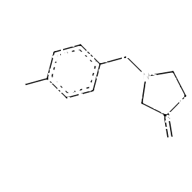 Cc1ccc(CN2CCC(=O)C2)cc1